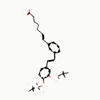 CC(C)(C)[Si](C)(C)Oc1ccc(C=Cc2cccc(C=CCCCCC(=O)O)c2)cc1O[Si](C)(C)C(C)(C)C